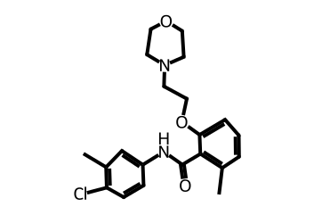 Cc1cc(NC(=O)c2c(C)cccc2OCCN2CCOCC2)ccc1Cl